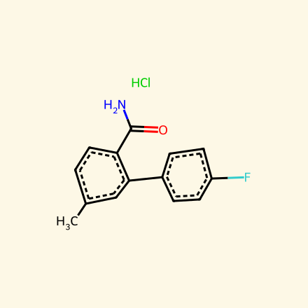 Cc1ccc(C(N)=O)c(-c2ccc(F)cc2)c1.Cl